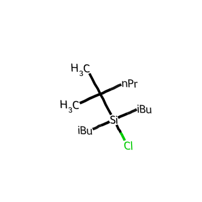 CCCC(C)(C)[Si](Cl)(C(C)CC)C(C)CC